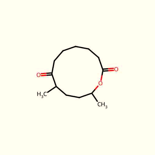 CC1CCC(C)C(=O)CCCCCC(=O)O1